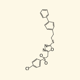 O=S(=O)(Cc1nnc(SCCc2ccc(-c3ccccc3)cc2)o1)c1ccc(Cl)cc1